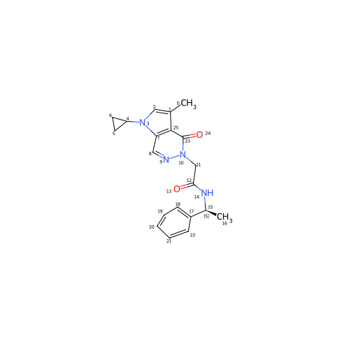 Cc1cn(C2CC2)c2cnn(CC(=O)N[C@@H](C)c3ccccc3)c(=O)c12